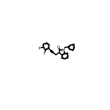 O=C1C(CC#Cc2cccc(F)c2F)c2ccccc2N1Cc1ccccc1